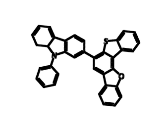 C1=CCC2C(=C1)c1ccc(-c3cc4c5ccccc5oc4c4c3sc3ccccc34)cc1N2c1ccccc1